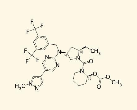 CC[C@@H]1C[C@H](N(Cc2cc(C(F)(F)F)cc(C(F)(F)F)c2)c2ncc(-c3cnn(C)c3)cn2)CN1C(=O)N1CCCC[C@@H]1OC(=O)OC